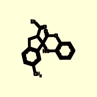 CCC(=O)C1Cc2ccc(C)cc2C12Nc1ccccc1OC2=O